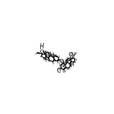 C#C[C@]1(O)CC[C@H]2[C@@H]3CCc4cc(OC5CC(=O)C=C6CC[C@H]7[C@@H]8CC[C@H](C(C)=O)[C@@]8(C)CC[C@@H]7[C@]65C)ccc4[C@H]3CCC21C